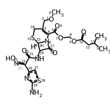 COCC1=C(C(=O)OCOC(=O)CC(C)C)N2C(=O)C(NC(=O)/C(=N\O)c3csc(N)n3)[C@H]2SC1